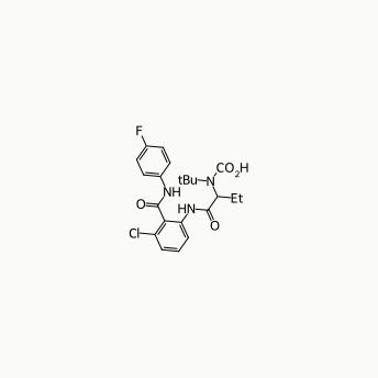 CCC(C(=O)Nc1cccc(Cl)c1C(=O)Nc1ccc(F)cc1)N(C(=O)O)C(C)(C)C